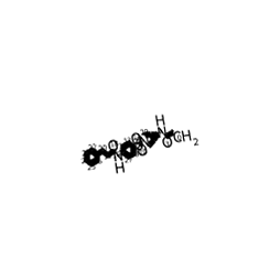 C=CC(=O)NC1C2CN(S(=O)(=O)c3ccc(NC(=O)CCc4ccccc4)cc3)CC21